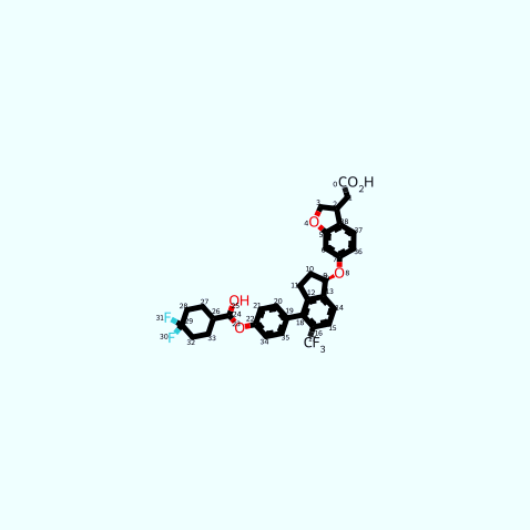 O=C(O)CC1COc2cc(O[C@@H]3CCc4c3ccc(C(F)(F)F)c4-c3ccc(OC(O)C4CCC(F)(F)CC4)cc3)ccc21